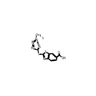 Cn1nnc(Sc2nc3ccc(C(=O)O)cc3s2)n1